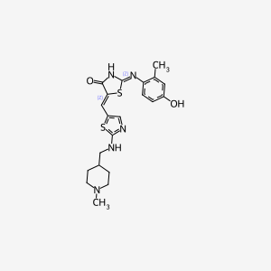 Cc1cc(O)ccc1/N=C1/NC(=O)/C(=C/c2cnc(NCC3CCN(C)CC3)s2)S1